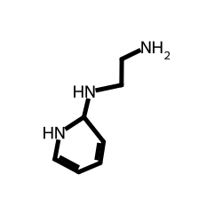 NCCNC1C=CC=CN1